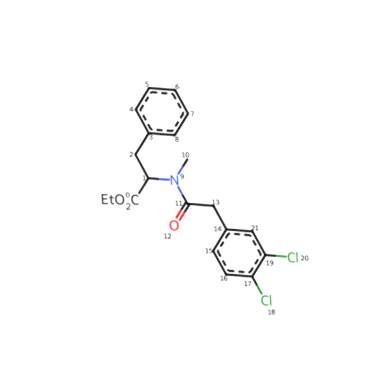 CCOC(=O)C(Cc1ccccc1)N(C)C(=O)Cc1ccc(Cl)c(Cl)c1